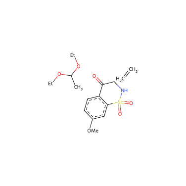 C=C.CCOC(C)OCC.COc1ccc2c(c1)S(=O)(=O)NCC2=O